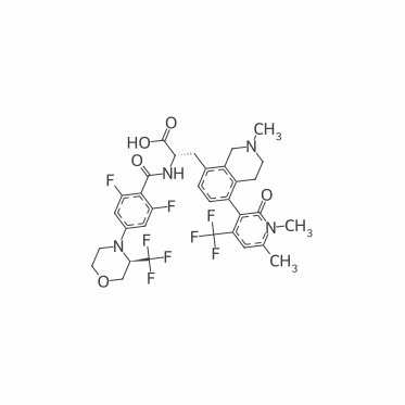 Cc1cc(C(F)(F)F)c(-c2ccc(C[C@H](NC(=O)c3c(F)cc(N4CCOC[C@@H]4C(F)(F)F)cc3F)C(=O)O)c3c2CCN(C)C3)c(=O)n1C